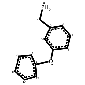 PCc1cccc(Oc2ccccc2)c1